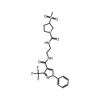 CS(=O)(=O)C1CCN(C(=O)NCCNC(=O)c2cn(-c3ccccc3)nc2C(F)(F)F)C1